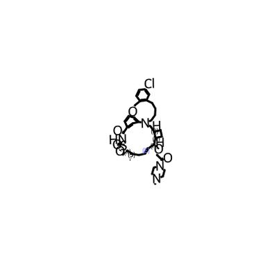 C[C@@H]1[C@@H](C)C/C=C/[C@H](OCC(=O)N2CCN(C)CC2)[C@@H]2CC[C@H]2CN2CCCCc3cc(Cl)ccc3COc3ccc(cc32)C(=O)NS1(=O)=O